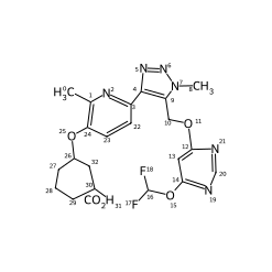 Cc1nc(-c2nnn(C)c2COc2cc(OC(F)F)ncn2)ccc1OC1CCCC(C(=O)O)C1